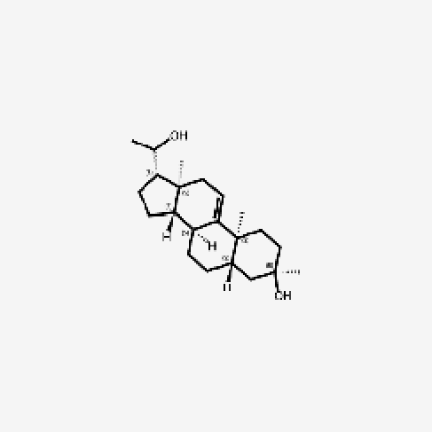 CC(O)[C@H]1CC[C@H]2[C@@H]3CC[C@H]4C[C@](C)(O)CC[C@]4(C)C3=CC[C@]12C